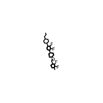 CCCC1CCC(c2ccc(-c3ccc(OCc4ccc(C)c(F)c4F)cc3)c(F)c2F)CC1